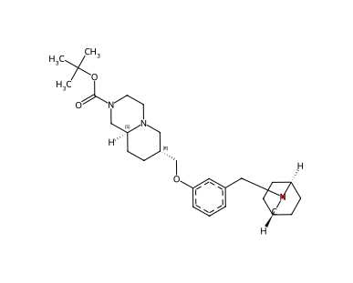 CC(C)(C)OC(=O)N1CCN2C[C@H](COc3cccc(CN4C[C@H]5CC[C@@H](CC5)C4)c3)CC[C@H]2C1